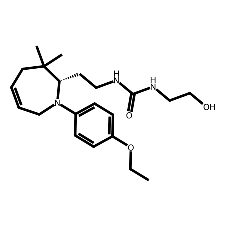 CCOc1ccc(N2CC=CCC(C)(C)[C@@H]2CCNC(=O)NCCO)cc1